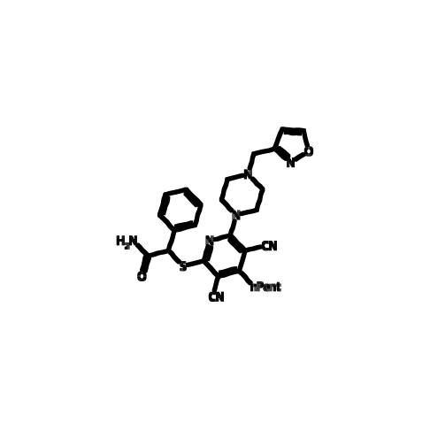 CCCCCc1c(C#N)c(SC(C(N)=O)c2ccccc2)nc(N2CCN(Cc3ccon3)CC2)c1C#N